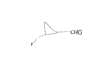 O=CC1CC1F